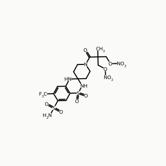 CC(CO[N+](=O)[O-])(CO[N+](=O)[O-])C(=O)N1CCC2(CC1)Nc1cc(C(F)(F)F)c(S(N)(=O)=O)cc1S(=O)(=O)N2